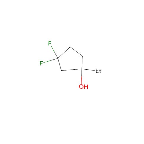 CCC1(O)CCC(F)(F)C1